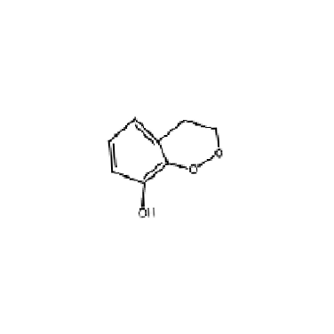 Oc1cccc2c1OOCC2